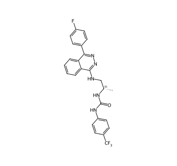 C[C@@H](CNc1nnc(-c2ccc(F)cc2)c2ccccc12)NC(=O)Nc1ccc(C(F)(F)F)cc1